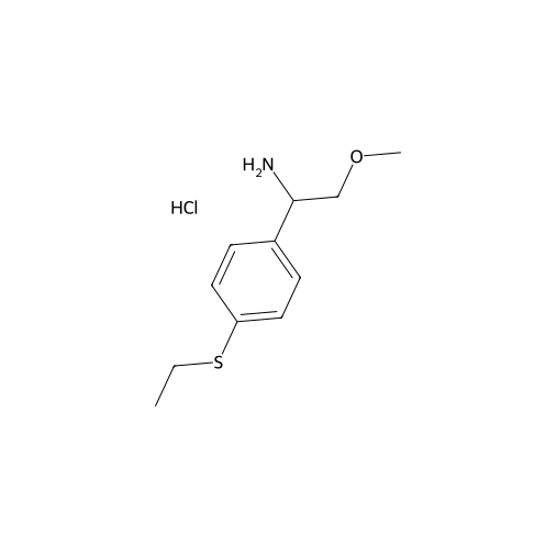 CCSc1ccc(C(N)COC)cc1.Cl